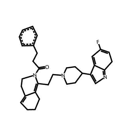 O=C(CCc1ccccc1)N1CCC2=CCCCC2=C1CCN1CCC(C2=CN=C3CC=C(F)C=C23)CC1